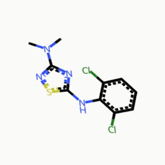 CN(C)c1nsc(Nc2c(Cl)cccc2Cl)n1